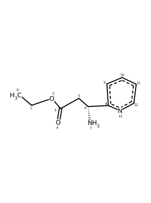 CCOC(=O)C[C@@H](N)c1ccccn1